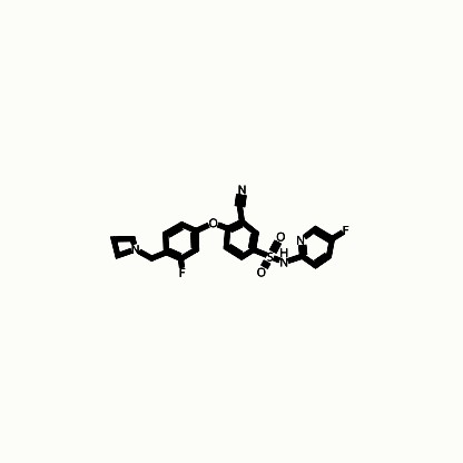 N#Cc1cc(S(=O)(=O)Nc2ccc(F)cn2)ccc1Oc1ccc(CN2CCC2)c(F)c1